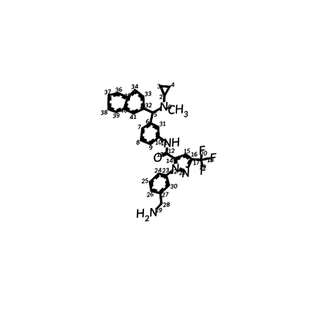 CN(C1CC1)C(c1cccc(NC(=O)c2cc(C(F)(F)F)nn2-c2cccc(CN)c2)c1)c1ccc2ccccc2c1